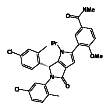 CNC(=O)c1ccc(OC)c(-c2cc3c(n2C(C)C)[C@@H](c2ccc(Cl)cc2C)N(c2cc(Cl)ccc2C)C3=O)c1